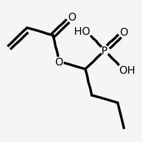 C=CC(=O)OC(CCC)P(=O)(O)O